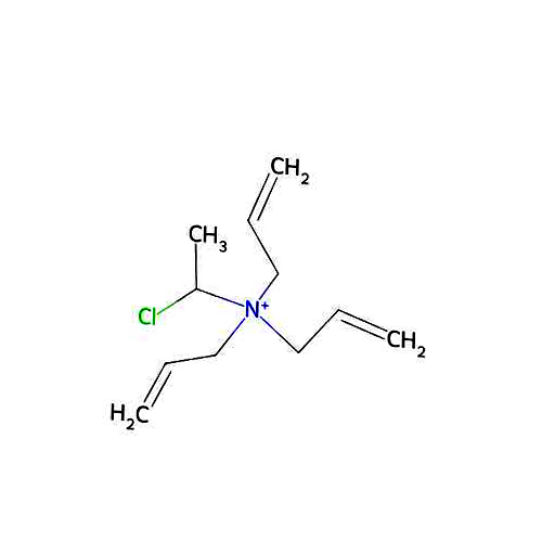 C=CC[N+](CC=C)(CC=C)C(C)Cl